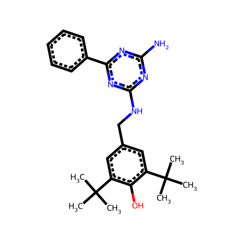 CC(C)(C)c1cc(CNc2nc(N)nc(-c3ccccc3)n2)cc(C(C)(C)C)c1O